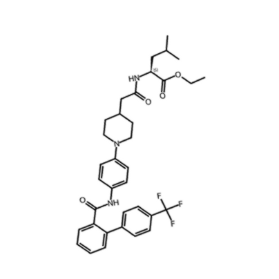 CCOC(=O)[C@H](CC(C)C)NC(=O)CC1CCN(c2ccc(NC(=O)c3ccccc3-c3ccc(C(F)(F)F)cc3)cc2)CC1